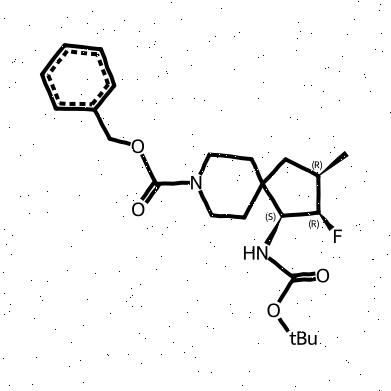 C[C@@H]1CC2(CCN(C(=O)OCc3ccccc3)CC2)[C@H](NC(=O)OC(C)(C)C)[C@@H]1F